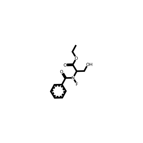 CCOC(=O)C(CO)N(F)C(=O)c1ccccc1